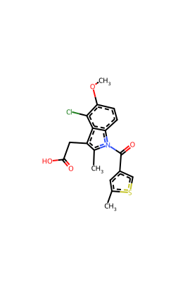 COc1ccc2c(c1Cl)c(CC(=O)O)c(C)n2C(=O)c1csc(C)c1